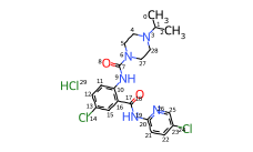 CC(C)N1CCN(C(=O)Nc2ccc(Cl)cc2C(=O)Nc2ccc(Cl)cn2)CC1.Cl